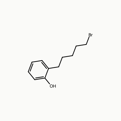 Oc1ccccc1CCCCCBr